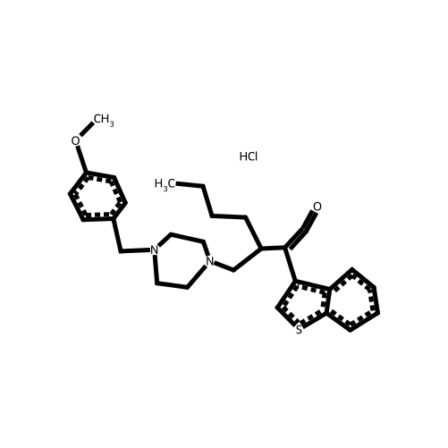 CCCCC(CN1CCN(Cc2ccc(OC)cc2)CC1)C(=C=O)c1csc2ccccc12.Cl